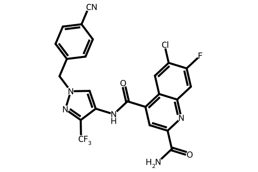 N#Cc1ccc(Cn2cc(NC(=O)c3cc(C(N)=O)nc4cc(F)c(Cl)cc34)c(C(F)(F)F)n2)cc1